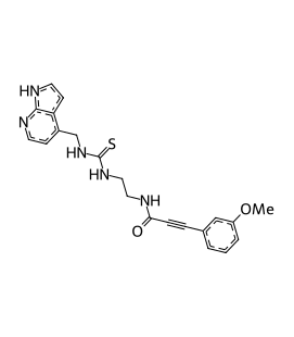 COc1cccc(C#CC(=O)NCCNC(=S)NCc2ccnc3[nH]ccc23)c1